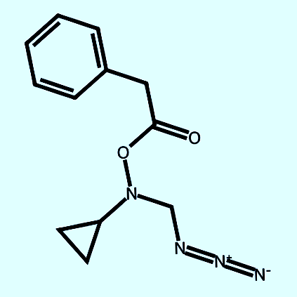 [N-]=[N+]=NCN(OC(=O)Cc1ccccc1)C1CC1